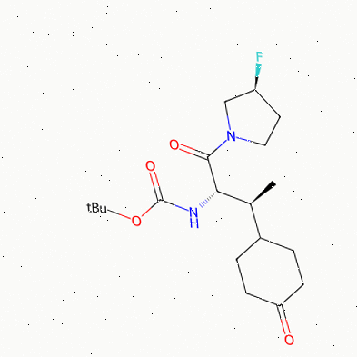 C[C@@H](C1CCC(=O)CC1)[C@H](NC(=O)OC(C)(C)C)C(=O)N1CC[C@H](F)C1